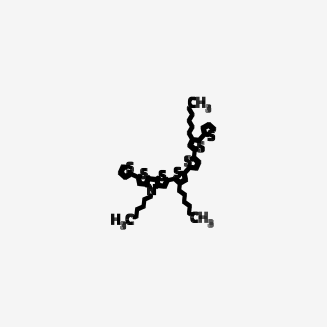 CCCCCCc1cc(-c2ccc(-c3cc(CCCCCC)c(-c4cc5c(s4)c4sc(-c6cccs6)cc4n5CCCCCC)s3)s2)sc1-c1cccs1